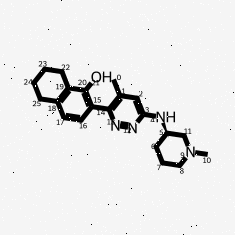 Cc1cc(N[C@@H]2CCCN(C)C2)nnc1-c1ccc2c(c1O)CCCC2